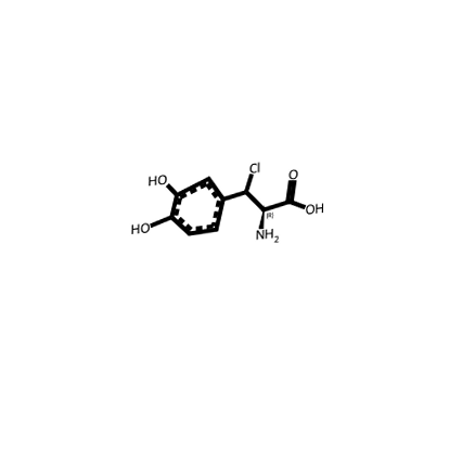 N[C@H](C(=O)O)C(Cl)c1ccc(O)c(O)c1